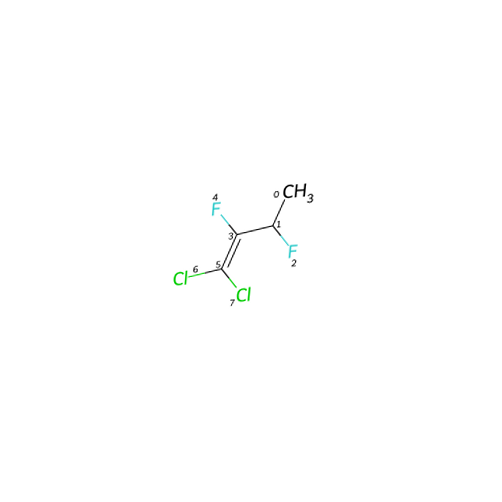 CC(F)C(F)=C(Cl)Cl